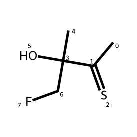 CC(=S)C(C)(O)CF